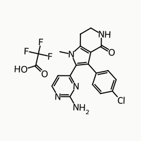 Cn1c2c(c(-c3ccc(Cl)cc3)c1-c1ccnc(N)n1)C(=O)NCC2.O=C(O)C(F)(F)F